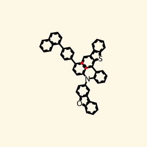 c1ccc(N(c2ccc(-c3ccc(-c4cccc5ccccc45)cc3)cc2)c2ccc3oc4ccccc4c3c2)c(-c2cccc3c2sc2ccccc23)c1